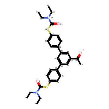 CCN(CC)C(=O)Sc1ccc(-c2cc(C(C)=O)cc(-c3ccc(SC(=O)N(CC)CC)cc3)c2)cc1